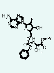 CC(C)OC(=O)[C@H](C)NP(=O)(OCC1OC(n2cnc3c(N)ncnc32)C(F)C1O)Oc1ccccc1